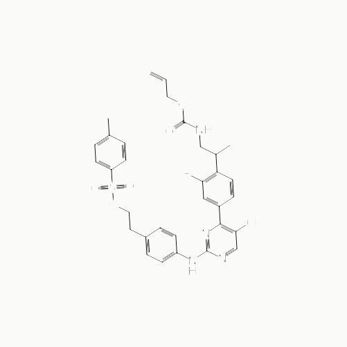 C=CCOC(=O)NCC(C)c1ccc(-c2nc(Nc3ccc(CCOS(=O)(=O)c4ccc(C)cc4)cc3)ncc2Cl)cc1F